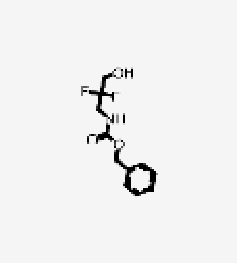 O=C(NCC(F)(F)CO)OCc1ccccc1